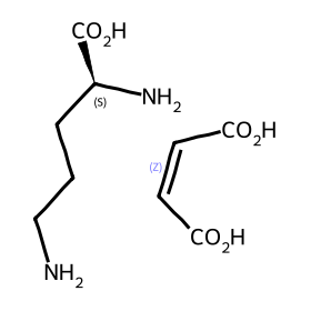 NCCC[C@H](N)C(=O)O.O=C(O)/C=C\C(=O)O